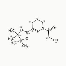 CC1(C)OB(C2=CN(C(=O)CO)CCC2)OC1(C)C